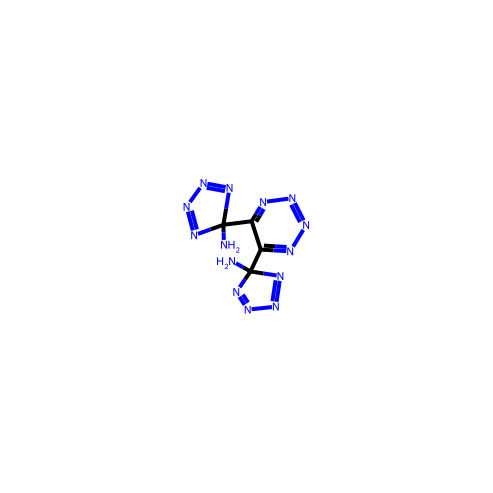 NC1(c2nnnnc2C2(N)N=NN=N2)N=NN=N1